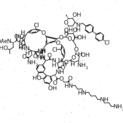 CN[C@H](CC(C)O)C(=O)N[C@H]1C(=O)N[C@@H](CC(N)=O)C(=O)N[C@H]2C(=O)N[C@H]3C(=O)N[C@H](C(=O)N[C@@H](C(=O)OCC(=O)NCCCNCCCCNCCCN)c4cc(O)cc(O)c4-c4cc3ccc4C)[C@@H]3O[C@H]4C[C@](C)(N)[C@@H](O)[C@H](OC[C@H]5O[C@@H](Oc6c(cc2cc6Oc2ccc3cc2Cl)Oc2ccc(cc2Cl)[C@H]1O)[C@H](O[C@H]1C[C@](C)(NCc2ccc(-c3ccc(Cl)cc3)cc2)[C@@H](O)[C@H](C)O1)[C@@H](O)[C@@H]5O)O4